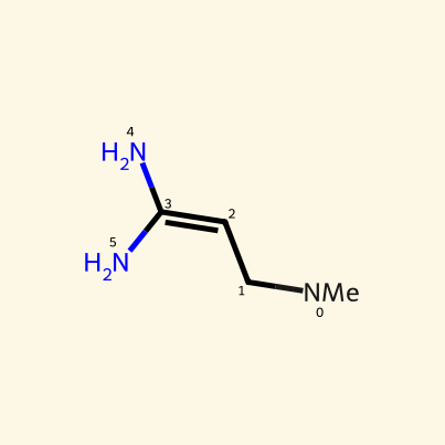 CNCC=C(N)N